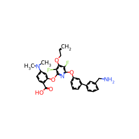 C=CCOc1c(F)c(Oc2cccc(-c3cccc(CN)c3)c2)nc(Oc2cc(N(C)C)ccc2C(=O)O)c1F